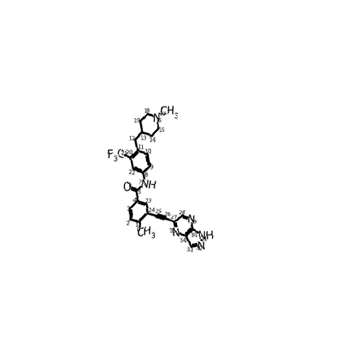 Cc1ccc(C(=O)Nc2ccc(CC3CCN(C)CC3)c(C(F)(F)F)c2)cc1C#Cc1cnc2[nH]ncc2n1